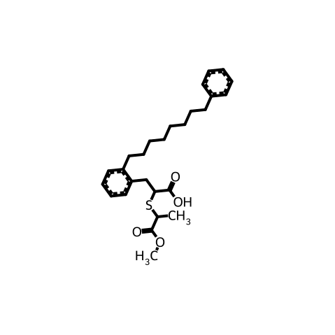 COC(=O)C(C)SC(Cc1ccccc1CCCCCCCCc1ccccc1)C(=O)O